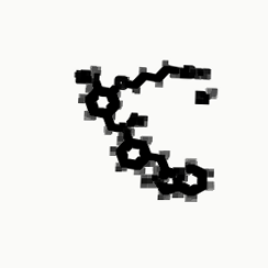 CCCCCCCCCCCCCCOc1cc(CN(C(C)=O)c2cccc(Cc3[nH]cc4cccc[n+]34)c2)ccc1C(C)(C)C.[Br-]